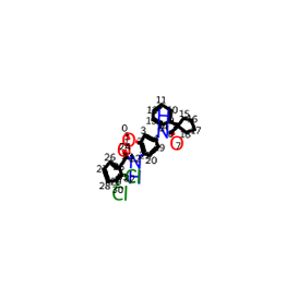 COc1cc(NC(=O)C2(c3ccccc3)CCCC2)ccc1NC(=O)c1cccc(Cl)c1Cl